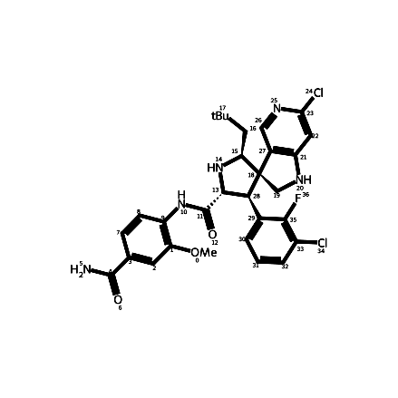 COc1cc(C(N)=O)ccc1NC(=O)[C@@H]1N[C@@H](CC(C)(C)C)[C@@]2(CNc3cc(Cl)ncc32)[C@H]1c1cccc(Cl)c1F